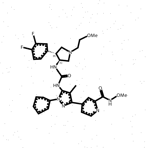 COCCN1C[C@@H](NC(=O)Nc2c(C)c(-c3ccnc(C(=O)NOC)c3)nn2-c2ccccc2)[C@H](c2ccc(F)c(F)c2)C1